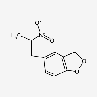 CC(Cc1ccc2c(c1)COO2)[N+](=O)[O-]